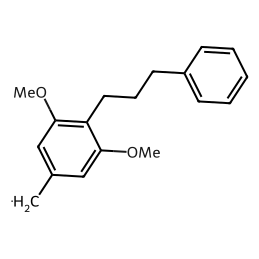 [CH2]c1cc(OC)c(CCCc2ccccc2)c(OC)c1